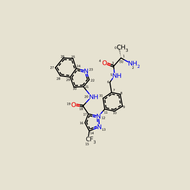 C[C@H](N)C(=O)NCc1cccc(-n2nc(C(F)(F)F)cc2C(=O)Nc2cnc3ccccc3c2)c1